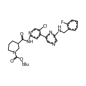 CC(C)(C)OC(=O)N1CCCC(C(=O)Nc2cc(-c3cncc(NCc4ccccc4F)n3)c(Cl)cn2)C1